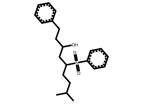 CC(C)CCC(CC(O)[CH]Cc1ccccc1)S(=O)(=O)c1ccccc1